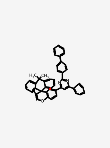 CC1(C)c2ccccc2C2(c3ccccc3Oc3ccc(-c4cc(-c5ccccc5)nc(-c5ccc(-c6ccccc6)cc5)n4)cc32)c2ccccc21